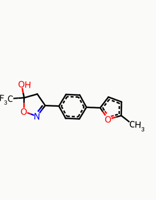 Cc1ccc(-c2ccc(C3=NOC(O)(C(F)(F)F)C3)cc2)o1